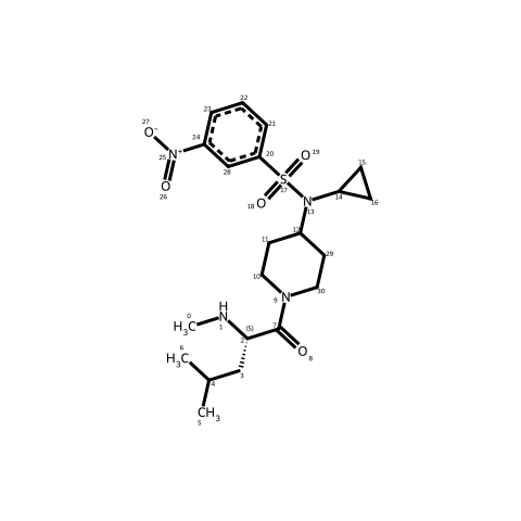 CN[C@@H](CC(C)C)C(=O)N1CCC(N(C2CC2)S(=O)(=O)c2cccc([N+](=O)[O-])c2)CC1